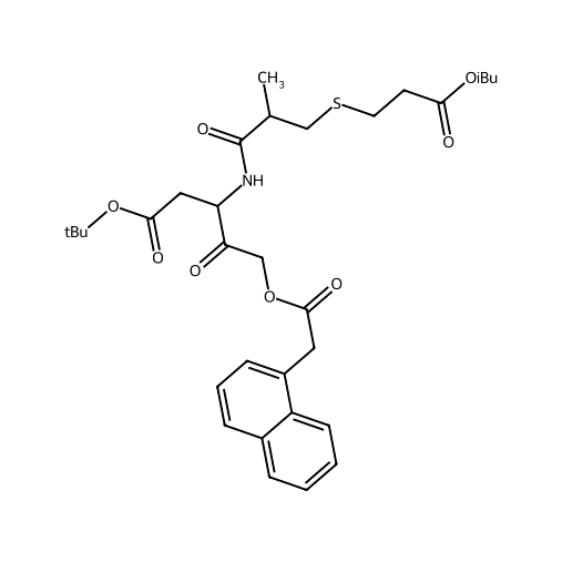 CC(C)COC(=O)CCSCC(C)C(=O)NC(CC(=O)OC(C)(C)C)C(=O)COC(=O)Cc1cccc2ccccc12